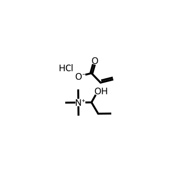 C=CC(=O)[O-].CCC(O)[N+](C)(C)C.Cl